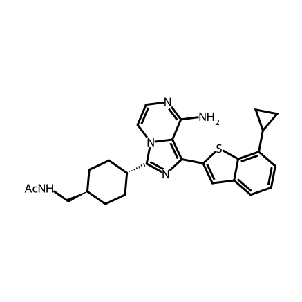 CC(=O)NC[C@H]1CC[C@H](c2nc(-c3cc4cccc(C5CC5)c4s3)c3c(N)nccn32)CC1